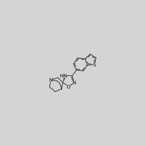 c1cc2ccc(C3=NO[C@]4(CN5CCC4CC5)N3)cc2s1